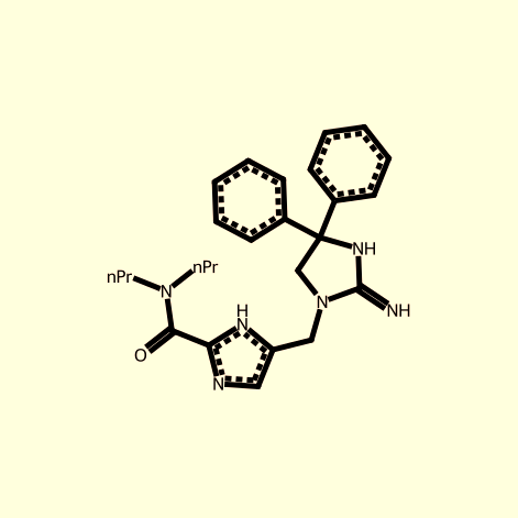 CCCN(CCC)C(=O)c1ncc(CN2CC(c3ccccc3)(c3ccccc3)NC2=N)[nH]1